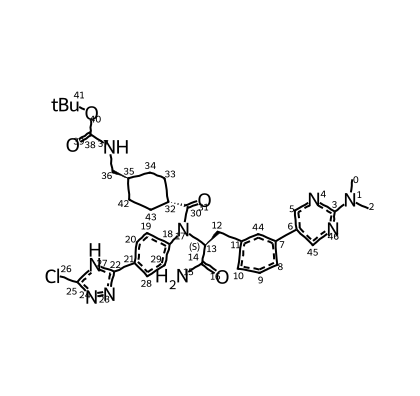 CN(C)c1ncc(-c2cccc(C[C@@H](C(N)=O)N(c3ccc(-c4nnc(Cl)[nH]4)cc3)C(=O)[C@H]3CC[C@H](CNC(=O)OC(C)(C)C)CC3)c2)cn1